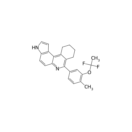 Cc1ccc(-c2nc3ccc4[nH]ccc4c3c3c2CCCC3)cc1OC(C)(F)F